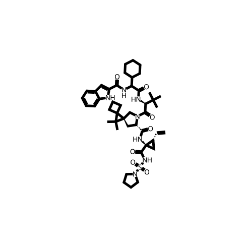 C=C[C@@H]1C[C@]1(NC(=O)[C@@H]1C[C@@]2(CN1C(=O)[C@@H](NC(=O)C(NC(=O)c1cc3ccccc3[nH]1)C1CCCCC1)C(C)(C)C)C(C)(C)C21CCC1)C(=O)NS(=O)(=O)N1CCCC1